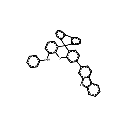 c1ccc(Nc2cccc3c2Sc2cc(-c4ccc5c(c4)oc4ccccc45)ccc2C32c3ccccc3-c3ccccc32)cc1